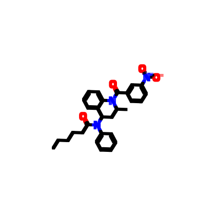 CCCCCC(=O)N(c1ccccc1)C1CC(C)N(C(=O)c2cccc([N+](=O)[O-])c2)c2ccccc21